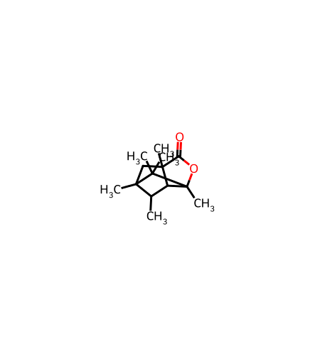 CC1C2C3(C)CC1(C)C(C)(C)C2(C)OC3=O